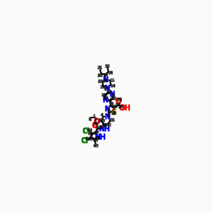 CCO[C@H]1CN(c2nc(-c3cnc(N4CCN(C(CC)CC)CC4)cn3)c(C(=O)O)s2)CC[C@H]1NC(=O)c1[nH]c(C)c(Cl)c1Cl